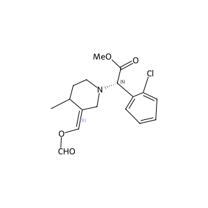 COC(=O)[C@H](c1ccccc1Cl)N1CCC(C)/C(=C\OC=O)C1